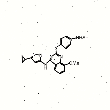 COc1cccc2c(Nc3cc(C4CC4)n[nH]3)nc(Sc3ccc(NC(C)=O)cc3)nc12